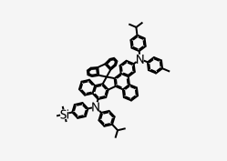 Cc1ccc(N(c2ccc(C(C)C)cc2)c2ccc3c4c(c5ccccc5c3c2)-c2cc(N(c3ccc(C(C)C)cc3)c3ccc([Si](C)(C)C)cc3)c3ccccc3c2C42c3ccccc3-c3ccccc32)cc1